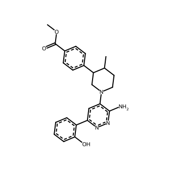 COC(=O)c1ccc(C2CN(c3cc(-c4ccccc4O)nnc3N)CCC2C)cc1